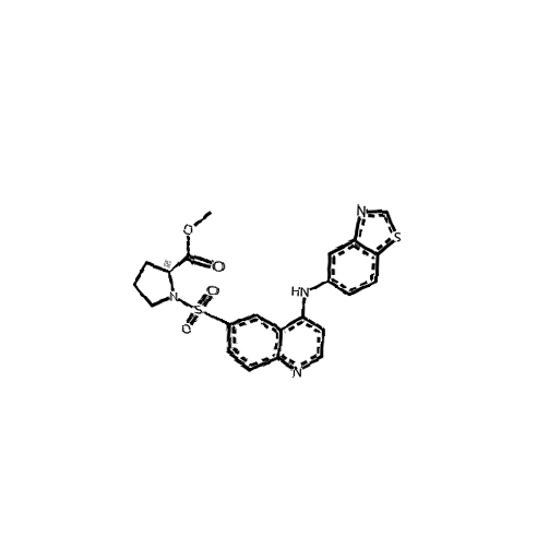 COC(=O)[C@@H]1CCCN1S(=O)(=O)c1ccc2nccc(Nc3ccc4scnc4c3)c2c1